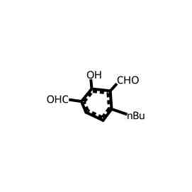 CCCCc1ccc(C=O)c(O)c1C=O